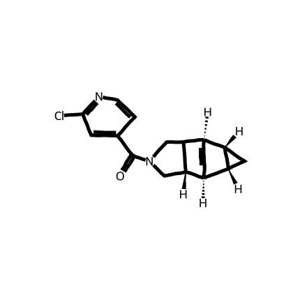 O=C(c1ccnc(Cl)c1)N1CC2[C@@H](C1)[C@H]1C=C[C@@H]2[C@@H]2C[C@H]12